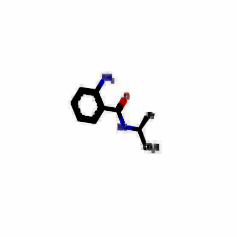 CC(C)[C@H](NC(=O)c1ccccc1N)C(=O)O